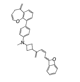 C=C1CC=COc2c1cccc2-c1ccc(N(C)C2CC(C(=C)/C=C\C=C3/Oc4ccccc43)C2)cc1